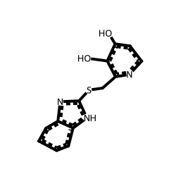 Oc1ccnc(CSc2nc3ccccc3[nH]2)c1O